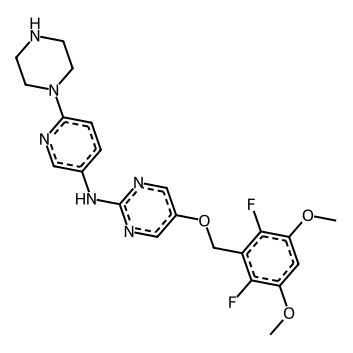 COc1cc(OC)c(F)c(COc2cnc(Nc3ccc(N4CCNCC4)nc3)nc2)c1F